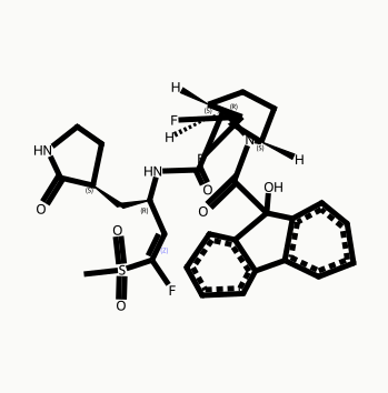 CS(=O)(=O)/C(F)=C\[C@@H](C[C@@H]1CCNC1=O)NC(=O)[C@H]1[C@@H]2CC[C@@H](CC2(F)F)N1C(=O)C1(O)c2ccccc2-c2ccccc21